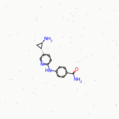 NC(=O)c1ccc(Nc2ccc([C@@H]3C[C@H]3N)cn2)cc1